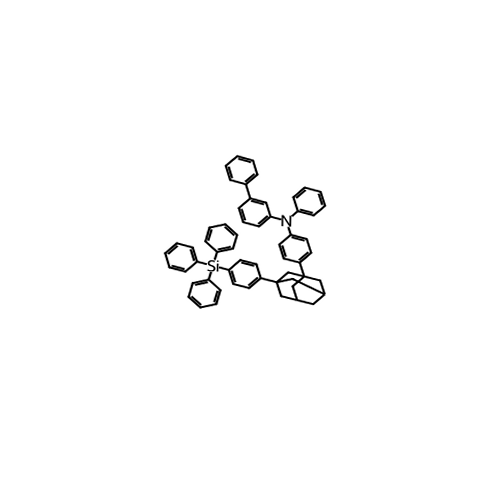 c1ccc(-c2cccc(N(c3ccccc3)c3ccc(C45CC6CC(C4)CC(c4ccc([Si](c7ccccc7)(c7ccccc7)c7ccccc7)cc4)(C6)C5)cc3)c2)cc1